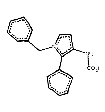 O=C(O)Nc1ccn(Cc2ccccc2)c1-c1ccccc1